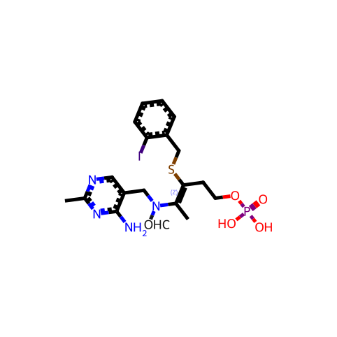 C/C(=C(\CCOP(=O)(O)O)SCc1ccccc1I)N(C=O)Cc1cnc(C)nc1N